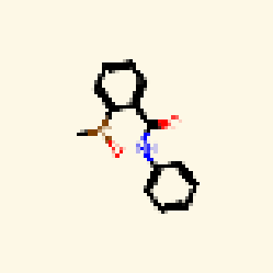 C[S+]([O-])c1ccccc1C(=O)Nc1ccccc1